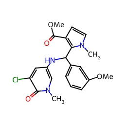 COC(=O)c1ccn(C)c1C(Nc1cc(Cl)c(=O)n(C)c1)c1cccc(OC)c1